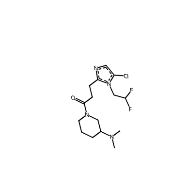 CN(C)C1CCCN(C(=O)CCc2ncc(Cl)n2CC(F)F)C1